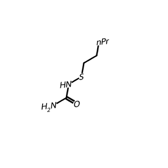 CCCCCSNC(N)=O